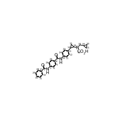 O=C(Nc1ccc(C(=O)Nc2ccc(C3CC3N(CC3CC3)C(=O)O)cc2)cc1)c1ccccc1